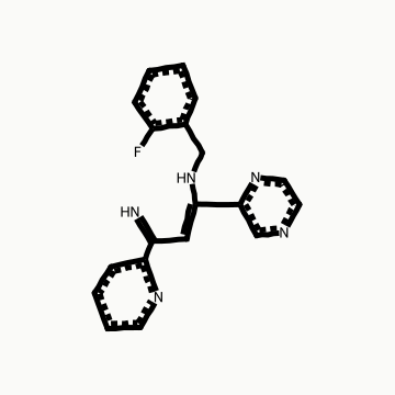 N=C(/C=C(\NCc1ccccc1F)c1cnccn1)c1ccccn1